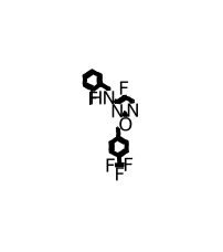 Fc1ccccc1CNc1nc(OCc2ccc(C(F)(F)F)cc2)ncc1F